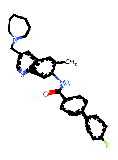 Cc1cc2cc(CN3CCCCCC3)cnc2cc1NC(=O)c1ccc(-c2ccc(F)cc2)cc1